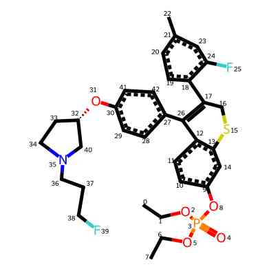 CCOP(=O)(OCC)Oc1ccc2c(c1)SCC(c1ccc(C)cc1F)=C2c1ccc(O[C@H]2CCN(CCCF)C2)cc1